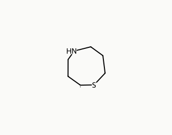 [CH]1CCNCCCS1